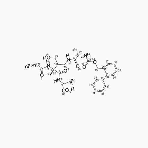 CCCCCC(=O)N[C@@](C)(C(=O)NC(C(=O)O)C(C)C)C(CO)CNC(=O)[C@H](C)NC(=O)OCc1ccccc1-c1ccccc1